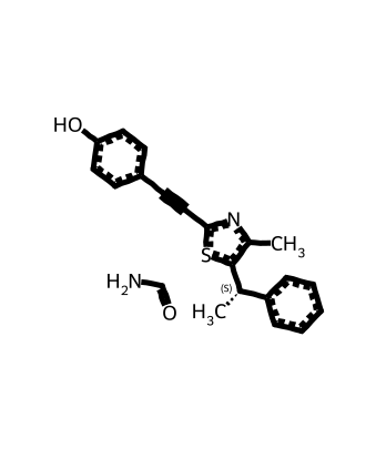 Cc1nc(C#Cc2ccc(O)cc2)sc1[C@@H](C)c1ccccc1.NC=O